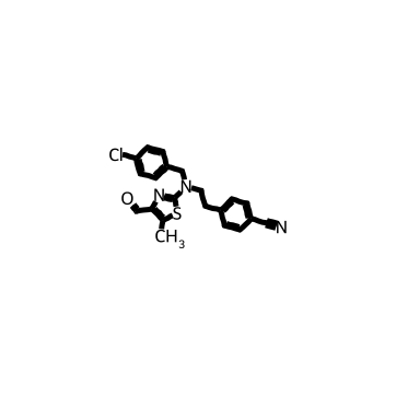 Cc1sc(N(CCc2ccc(C#N)cc2)Cc2ccc(Cl)cc2)nc1C=O